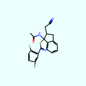 CC(=O)NC1(SC(=N)c2cc(F)ccc2F)c2ccccc2CC1CC#N